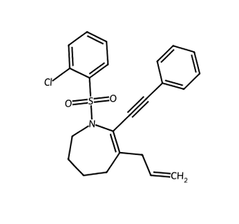 C=CCC1=C(C#Cc2ccccc2)N(S(=O)(=O)c2ccccc2Cl)CCCC1